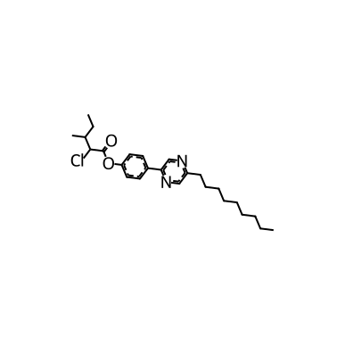 CCCCCCCCCc1cnc(-c2ccc(OC(=O)C(Cl)C(C)CC)cc2)cn1